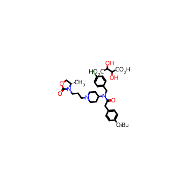 CC(C)COc1ccc(CC(=O)N(Cc2ccc(F)cc2)C2CCN(CCCN3C(=O)OC[C@@H]3C)CC2)cc1.O=C(O)C(O)C(O)C(=O)O